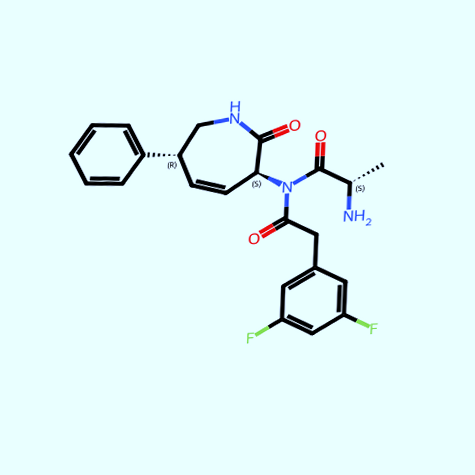 C[C@H](N)C(=O)N(C(=O)Cc1cc(F)cc(F)c1)[C@H]1C=C[C@H](c2ccccc2)CNC1=O